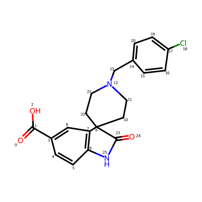 O=C(O)c1ccc2c(c1)C1(CCN(Cc3ccc(Cl)cc3)CC1)C(=O)N2